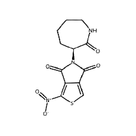 O=C1NCCCC[C@@H]1N1C(=O)c2csc([N+](=O)[O-])c2C1=O